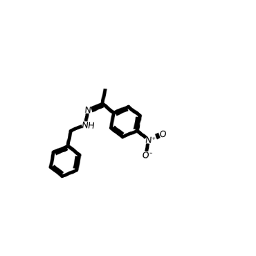 CC(=NNCc1ccccc1)c1ccc([N+](=O)[O-])cc1